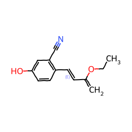 C=C(/C=C/c1ccc(O)cc1C#N)OCC